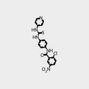 O=C(Nc1ccc(NC(=S)Nc2ccncc2)cc1)c1cc([N+](=O)[O-])ccc1Cl